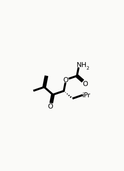 C=C(C)C(=O)[C@@H](CC(C)C)OC(N)=O